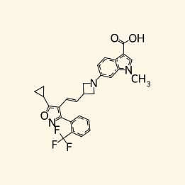 Cn1cc(C(=O)O)c2ccc(N3CC(/C=C/c4c(-c5ccccc5C(F)(F)F)noc4C4CC4)C3)cc21